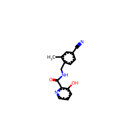 Cc1cc(C#N)ccc1CNC(=O)c1ncccc1O